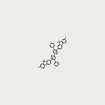 Cc1ccc2c(c1)C(C)(C)c1cc(-c3sc(-c4cc(-c5ccccc5)c(-c5ccc6c(c5)C(C)(C)c5cc(C)ccc5-6)s4)cc3-c3ccccc3)ccc1-2